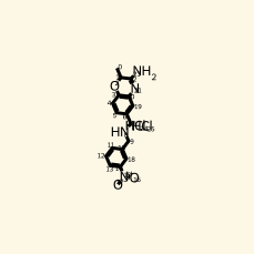 CC1Oc2ccc(CNCc3cccc([N+](=O)[O-])c3)cc2N=C1N.Cl.Cl